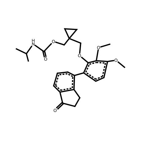 COc1ccc(-c2cccc3c2CCC3=O)c(OCC2(COC(=O)NC(C)C)CC2)c1OC